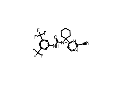 N#Cc1nccc(C2(NC(=O)Nc3cc(C(F)(F)F)cc(C(F)(F)F)c3)CCCCC2)n1